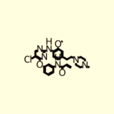 C=CC(=O)Nc1cccc(Oc2nc(Nc3ccc(CCN4CCN(C)CC4)cc3OC)ncc2Cl)c1